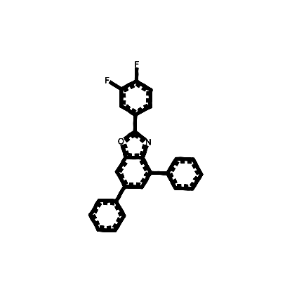 Fc1ccc(-c2nc3c(-c4ccccc4)cc(-c4ccccc4)cc3o2)cc1F